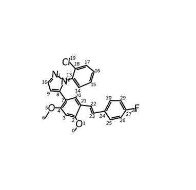 COc1cc(OC)c(-c2ccnn2-c2ccccc2Cl)cc1C=Cc1ccc(F)cc1